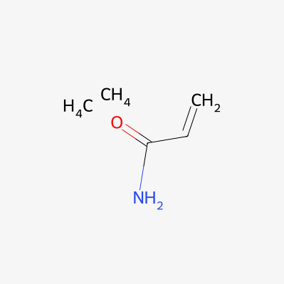 C.C.C=CC(N)=O